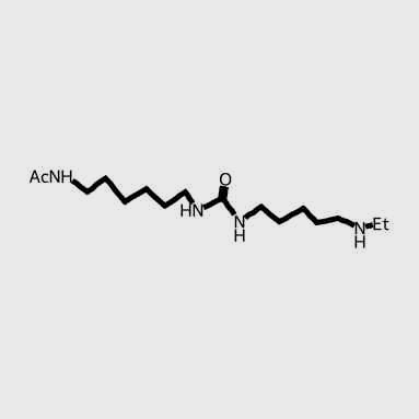 CCNCCCCCNC(=O)NCCCCCCNC(C)=O